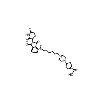 O=C1CCC(N2C(=O)c3cccc(NCCCCCCN4CCN(C5CCN(C(=O)O)CC5)CC4)c3C2=O)C(=O)N1